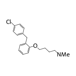 CNCCCCOc1ccccc1Cc1ccc(Cl)cc1